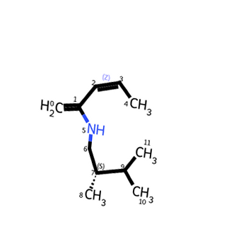 C=C(/C=C\C)NC[C@@H](C)C(C)C